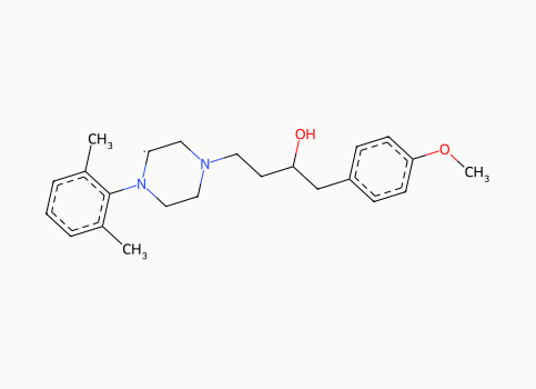 COc1ccc(CC(O)CCN2C[CH]N(c3c(C)cccc3C)CC2)cc1